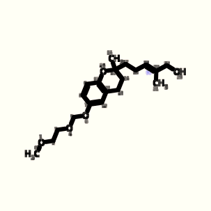 COCCOCOc1ccc2c(c1)CCC(C)(CC/C=C(\C)CO)O2